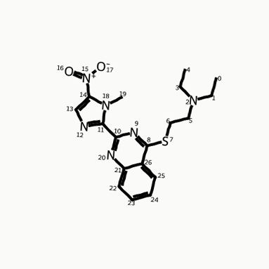 CCN(CC)CCSc1nc(-c2ncc([N+](=O)[O-])n2C)nc2ccccc12